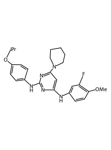 COc1ccc(Nc2cc(N3CCCCC3)nc(Nc3ccc(OC(C)C)cc3)n2)cc1F